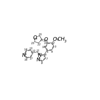 COc1ccc(-c2ccnn2Cc2ccncc2)cc1O[C@@H]1CCOC1